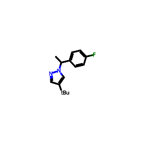 CC(c1ccc(F)cc1)n1cc(C(C)(C)C)cn1